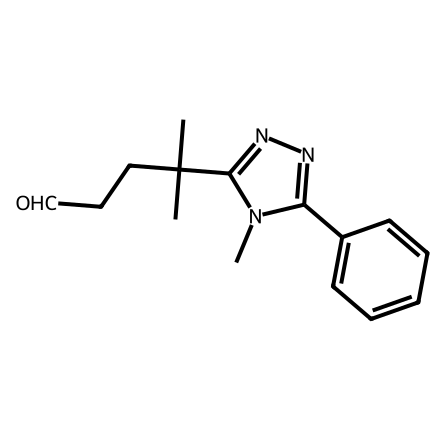 Cn1c(-c2ccccc2)nnc1C(C)(C)CCC=O